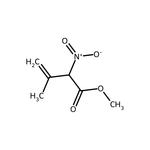 C=C(C)C(C(=O)OC)[N+](=O)[O-]